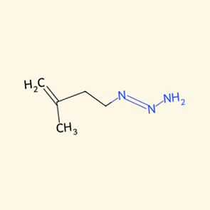 C=C(C)CCN=NN